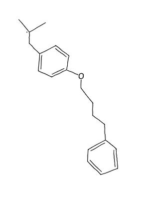 C[C](C)Cc1ccc(OCCCCc2ccccc2)cc1